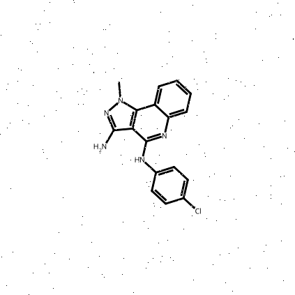 Cn1nc(N)c2c(Nc3ccc(Cl)cc3)nc3ccccc3c21